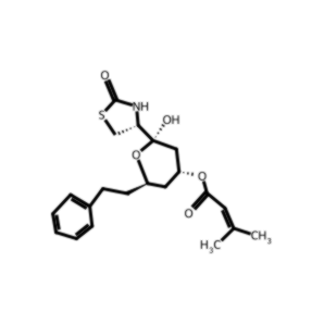 CC(C)=CC(=O)O[C@@H]1C[C@@H](CCc2ccccc2)O[C@@](O)([C@@H]2CSC(=O)N2)C1